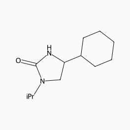 CC(C)N1CC(C2CCCCC2)NC1=O